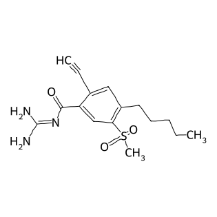 C#Cc1cc(CCCCC)c(S(C)(=O)=O)cc1C(=O)N=C(N)N